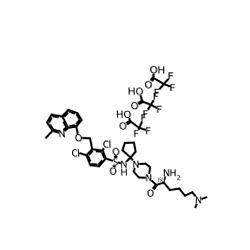 Cc1ccc2cccc(OCc3c(Cl)ccc(S(=O)(=O)NC4(N5CCN(C(=O)[C@@H](N)CCCCN(C)C)CC5)CCCC4)c3Cl)c2n1.O=C(O)C(F)(F)F.O=C(O)C(F)(F)F.O=C(O)C(F)(F)F